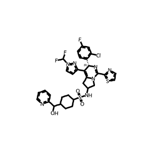 O=S(=O)(NC1CC2=C(c3ccn(C(F)F)n3)[C@H](c3ccc(F)cc3Cl)N=C(c3nccs3)N2C1)C1CCC(C(O)c2ccccn2)CC1